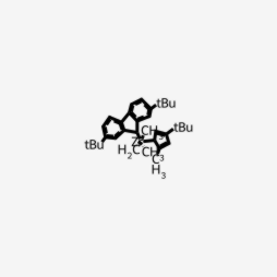 [CH2]=[Zr]([CH3])([CH3])([CH]1C=C(C(C)(C)C)C=C1C)[CH]1c2cc(C(C)(C)C)ccc2-c2ccc(C(C)(C)C)cc21